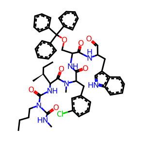 CCCCN(C(=O)NC)C(=O)NC(C(=O)N(C)C(Cc1cccc(Cl)c1)C(=O)NC(COC(c1ccccc1)(c1ccccc1)c1ccccc1)C(=O)NC(C=O)Cc1c[nH]c2ccccc12)[C@@H](C)CC